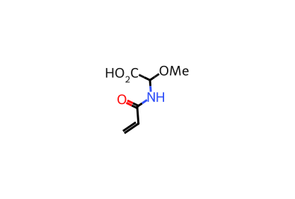 C=CC(=O)NC(OC)C(=O)O